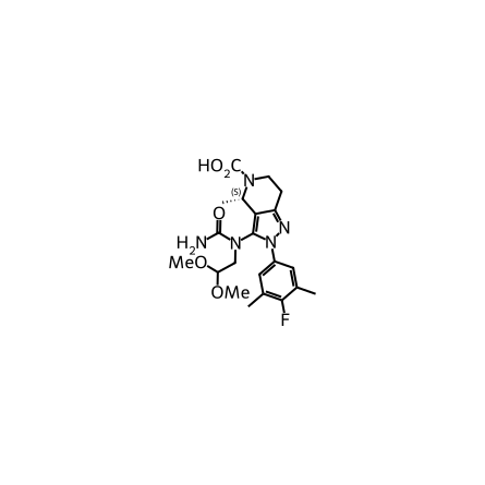 COC(CN(C(N)=O)c1c2c(nn1-c1cc(C)c(F)c(C)c1)CCN(C(=O)O)[C@H]2C)OC